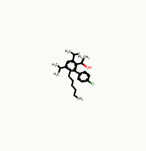 CCCCCCc1c(C(C)C)cc(C(C)C)c(C(C)O)c1-c1ccc(Cl)cc1